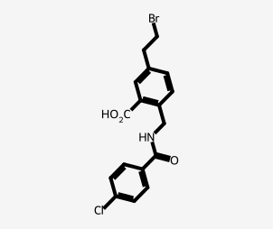 O=C(NCc1ccc(CCBr)cc1C(=O)O)c1ccc(Cl)cc1